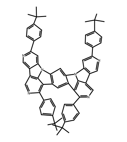 CC(C)(C)c1ccc(-c2cc3c(cn2)c2cnc(-c4ccc(C(C)(C)C)cc4)c4c5cc6c7c(-c8ccc(C(C)(C)C)cc8)ncc8c9cnc(-c%10ccc(C(C)(C)C)cc%10)cc9n(c6cc5n3c24)c87)cc1